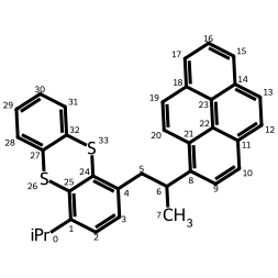 CC(C)c1ccc(CC(C)c2ccc3ccc4cccc5ccc2c3c45)c2c1Sc1ccccc1S2